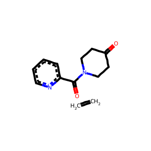 C=C.O=C1CCN(C(=O)c2ccccn2)CC1